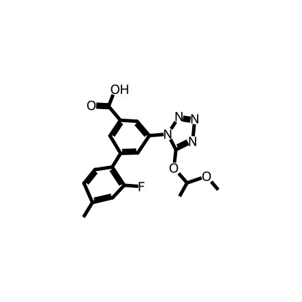 COC(C)Oc1nnnn1-c1cc(C(=O)O)cc(-c2ccc(C)cc2F)c1